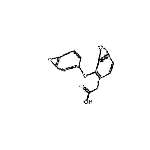 O=C(O)Cc1ccc2c(c1Oc1ccc3c(c1)O3)O2